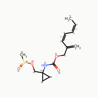 C=C(/C=C\C=C/C)COC(=O)NC1(COS(C)=O)CC1